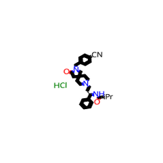 CC(C)C(=O)N[C@@H](CCN1CCC2(CC1)CC(=O)N(Cc1ccc(C#N)cc1)C2)c1ccccc1.Cl